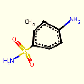 C.Nc1ccc(S(N)(=O)=O)cc1